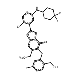 COCc1cn2cc(-c3cc(NC4CCC(F)(F)CC4)ncc3Cl)cc2c(=O)n1Cc1cc(F)ccc1CO